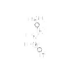 CN(CCN(C)S(=O)(=O)c1ccc(C(F)(F)F)cc1)CC1CN(c2ccc(C(=N)N)cc2)C(=O)O1